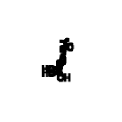 C=C(C)C(=O)OCCOOCC(CO)(CO)CO